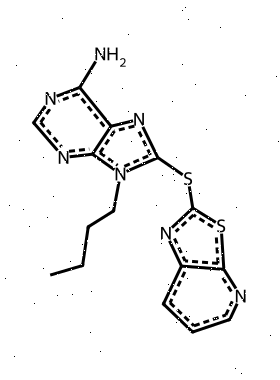 CCCCn1c(Sc2nc3cccnc3s2)nc2c(N)ncnc21